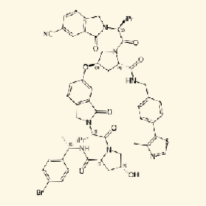 Cc1ncsc1-c1ccc(CNC(=O)[C@@H]2C[C@@H](Oc3ccc4c(c3)C(=O)N([C@H](C(=O)N3C[C@H](O)C[C@H]3C(=O)N[C@@H](C)c3ccc(Br)cc3)C(C)C)C4)CN2C(=O)[C@H](C(C)C)N2Cc3ccc(C#N)cc3C2=O)cc1